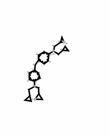 c1cc(B(CC2CC2)CC2CO2)ccc1Cc1ccc(N(CC2CC2)CC2CO2)cc1